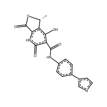 C[C@H]1OC(=O)c2[nH]c(=O)c(C(=O)Nc3ccc(-n4ccnc4)cc3)c(O)c21